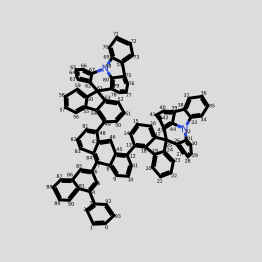 c1ccc(-c2cc(-c3c4cccc(-c5cccc6c5-c5ccccc5C65c6ccccc6-n6c7ccccc7c7cccc5c76)c4cc4c(-c5cccc6c5-c5ccccc5C65c6ccccc6-n6c7ccccc7c7cccc5c76)cccc34)cc3ccccc23)cc1